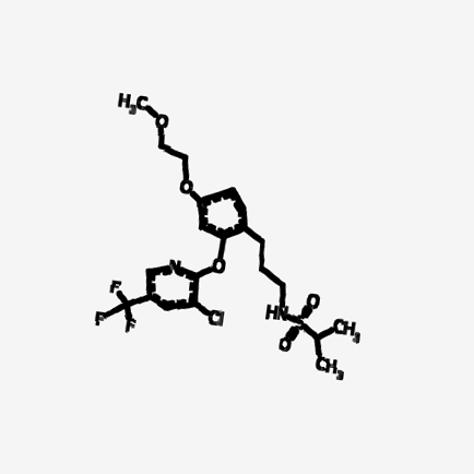 COCCOc1ccc(CCCNS(=O)(=O)C(C)C)c(Oc2ncc(C(F)(F)F)cc2Cl)c1